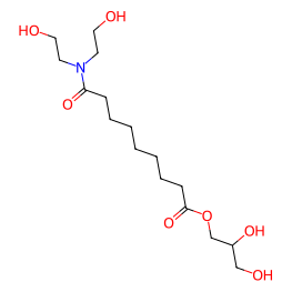 O=C(CCCCCCCC(=O)N(CCO)CCO)OCC(O)CO